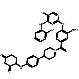 COc1cc(C(=O)N2CCC(c3ccc(NC4CCC(=O)NC4=O)cc3)CC2)ccc1Nc1ncc(Cl)c(Nc2ccccc2C(C)=O)n1